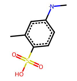 C[N]c1ccc(S(=O)(=O)O)c(C)c1